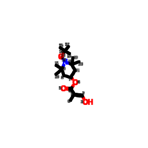 CC(=CO)C(=O)OC1CC(C)(C)N(OC(C)(C)C)C(C)(C)C1